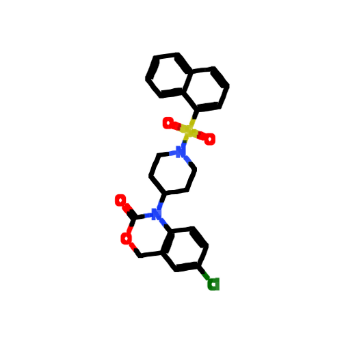 O=C1OCc2cc(Cl)ccc2N1C1CCN(S(=O)(=O)c2cccc3ccccc23)CC1